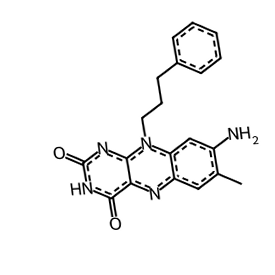 Cc1cc2nc3c(=O)[nH]c(=O)nc-3n(CCCc3ccccc3)c2cc1N